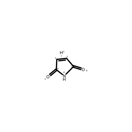 O=C1C=CC(=O)N1.[H+]